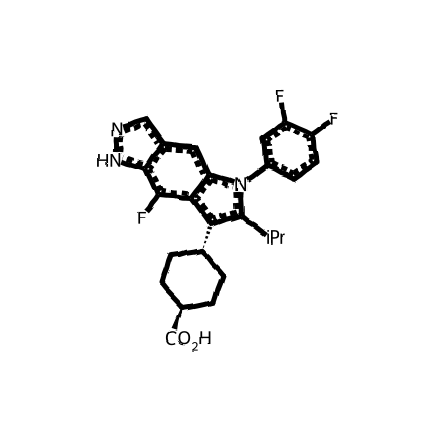 CC(C)c1c([C@H]2CC[C@H](C(=O)O)CC2)c2c(F)c3[nH]ncc3cc2n1-c1ccc(F)c(F)c1